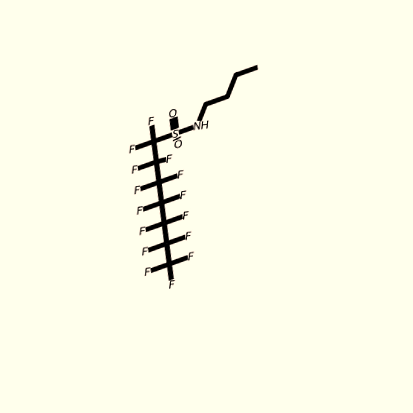 CCCCNS(=O)(=O)C(F)(F)C(F)(F)C(F)(F)C(F)(F)C(F)(F)C(F)(F)C(F)(F)F